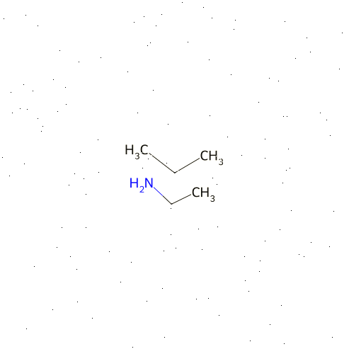 CCC.CCN